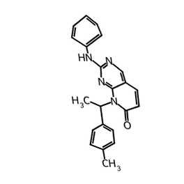 Cc1ccc(C(C)n2c(=O)ccc3cnc(Nc4ccccc4)nc32)cc1